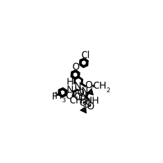 C=C[C@@H]1C[C@]1(NC(=O)C1Cc2cc(Oc3cccc(Cl)c3)ccc2CN1C(=O)[C@@H](Nc1ccc(F)cc1)C(C)(C)C)C(=O)NS(=O)(=O)C1CC1